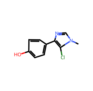 Cn1cnc(-c2ccc(O)cc2)c1Cl